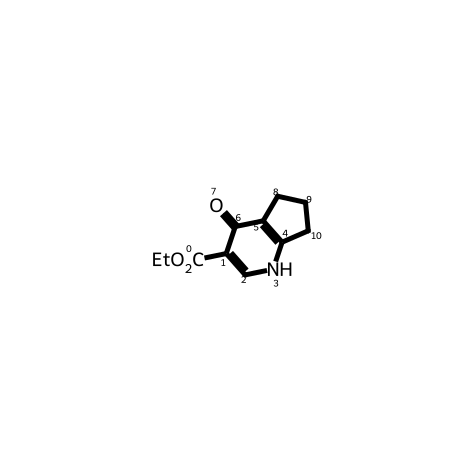 CCOC(=O)c1c[nH]c2c(c1=O)CCC2